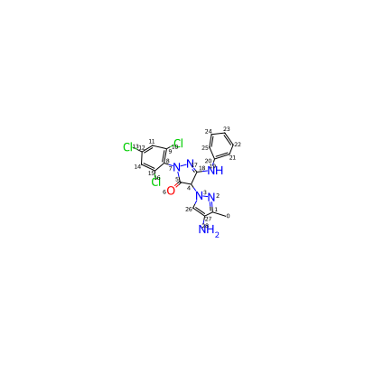 Cc1nn(C2C(=O)N(c3c(Cl)cc(Cl)cc3Cl)N=C2Nc2ccccc2)cc1N